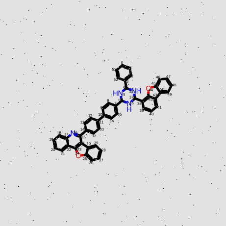 c1ccc(C2NC(c3ccc(-c4ccc(-c5nc6ccccc6c6oc7ccccc7c56)cc4)cc3)NC(c3cccc4c3oc3ccccc34)N2)cc1